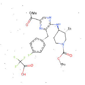 CC[C@@H]1CN(C(=O)OC(C)(C)C)CC[C@H]1Nc1ncc(C(=O)OC)nc1Cc1ccc(F)cc1.O=C(O)C(F)(F)F